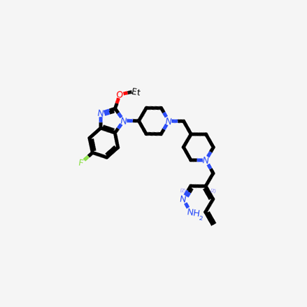 C=C/C=C(\C=N/N)CN1CCC(CN2CCC(n3c(OCC)nc4cc(F)ccc43)CC2)CC1